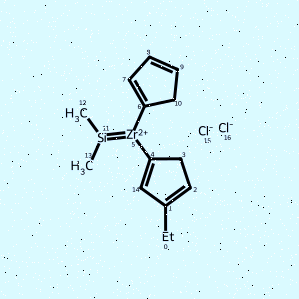 CCC1=CC[C]([Zr+2]([C]2=CC=CC2)=[Si](C)C)=C1.[Cl-].[Cl-]